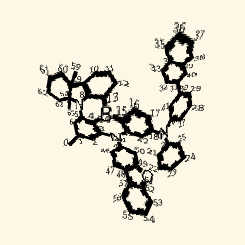 Cc1cc2c3c(c1)N1C4=C(C=CCC4B3c3ccc(N(c4ccccc4)c4cccc(-c5ccc6ccccc6c5)c4)cc3N2c2ccc3c(c2)oc2ccccc23)C2(C)CCCCC12C